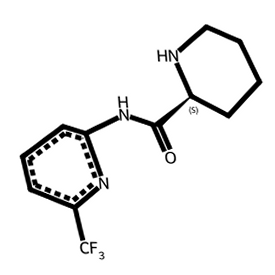 O=C(Nc1cccc(C(F)(F)F)n1)[C@@H]1CCCCN1